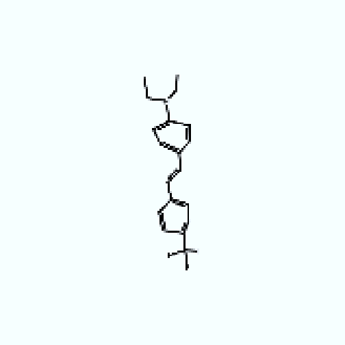 CCN(CC)c1ccc(C=Nc2ccc(C(F)(F)F)cc2)cc1